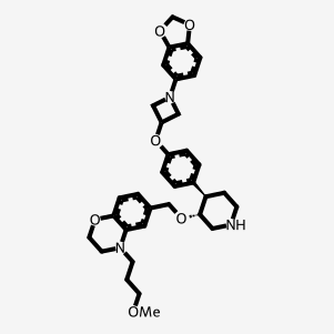 COCCCN1CCOc2ccc(CO[C@H]3CNCC[C@@H]3c3ccc(OC4CN(c5ccc6c(c5)OCO6)C4)cc3)cc21